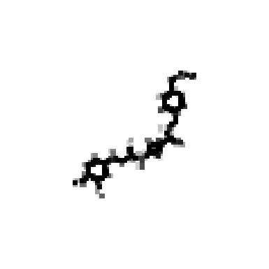 COCc1ccc(CNC(=O)C23CC(NC(=O)COc4ccc(Cl)c(F)c4)(C2)C3)cc1